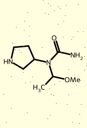 COC(C)N(C(N)=O)C1CCNC1